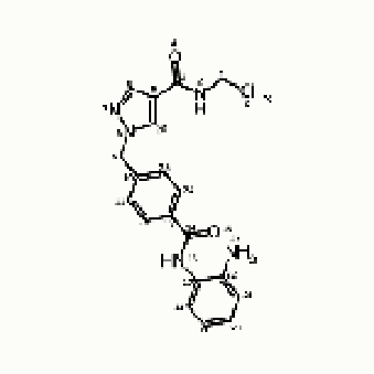 CCNC(=O)c1cnn(Cc2ccc(C(=O)Nc3ccccc3N)cc2)c1